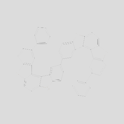 c1ccc(-c2ccc3sc4ccc5sc6ccc(-c7ccc8sc9ccc%10sc%11ccc(-c%12ccccc%12)cc%11c%10c9c8c7)cc6c5c4c3c2)cc1